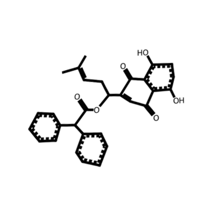 CC(C)=CCC(OC(=O)C(c1ccccc1)c1ccccc1)C1=CC(=O)c2c(O)ccc(O)c2C1=O